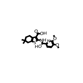 COc1ccc(C(O)Nc2sc3c(c2C(=O)O)CCC(C)(C)C3)nc1OC